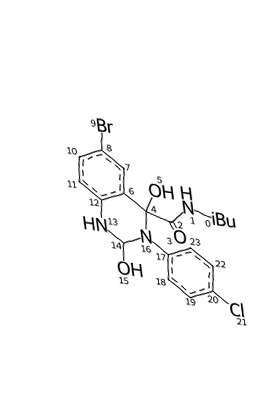 CCC(C)NC(=O)C1(O)c2cc(Br)ccc2NC(O)N1c1ccc(Cl)cc1